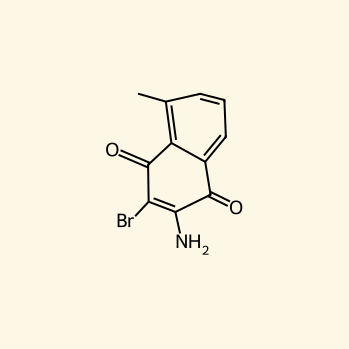 Cc1cccc2c1C(=O)C(Br)=C(N)C2=O